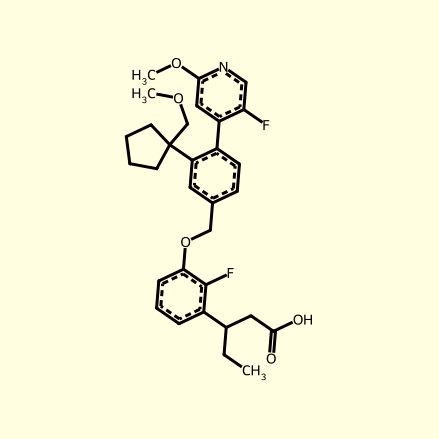 CCC(CC(=O)O)c1cccc(OCc2ccc(-c3cc(OC)ncc3F)c(C3(COC)CCCC3)c2)c1F